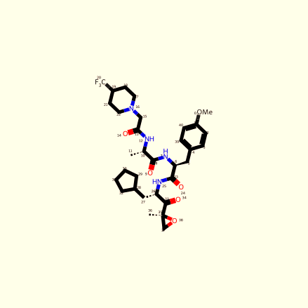 COc1ccc(C[C@H](NC(=O)[C@H](C)NC(=O)CN2CCC(C(F)(F)F)CC2)C(=O)N[C@@H](CC2CCCC2)C(=O)[C@]2(C)CO2)cc1